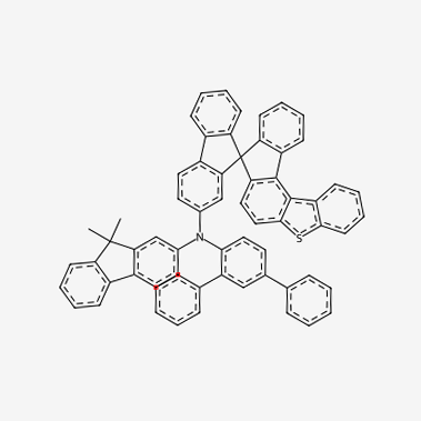 CC1(C)c2ccccc2-c2ccc(N(c3ccc4c(c3)C3(c5ccccc5-4)c4ccccc4-c4c3ccc3sc5ccccc5c43)c3ccc(-c4ccccc4)cc3-c3ccccc3)cc21